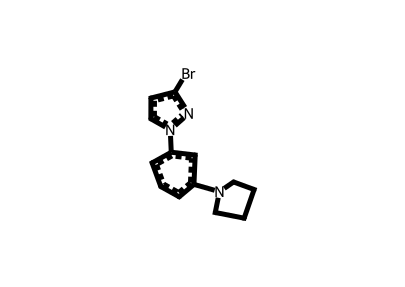 Brc1ccn(-c2cccc(N3CCCC3)c2)n1